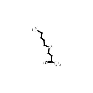 CC(=O)CCOCCCCO